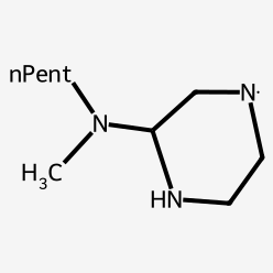 CCCCCN(C)C1C[N]CCN1